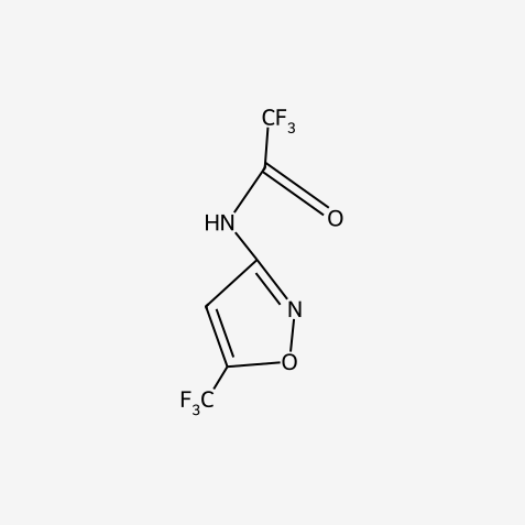 O=C(Nc1cc(C(F)(F)F)on1)C(F)(F)F